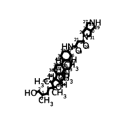 C[C@H](CO)CC[C@@]1(C)O[C@H]2C[C@H]3[C@@H]4CC[C@@H]5C[C@@H](NC(=O)CC(=O)N6CC7CNCC7C6)CC[C@]5(C)[C@H]4CC[C@]3(C)[C@H]2[C@@H]1C